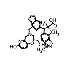 CC[C@@H]1CN(Cc2cc([C@H](c3ccc4c(nnn4C)c3C)C(C)(C)C(=O)O)cc3ccsc23)Cc2nc(O)ccc2O1